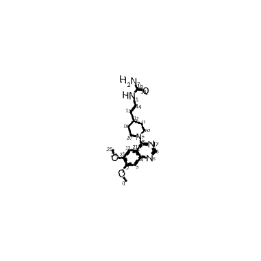 COc1cc2ncnc(N3CCC(CCNC(N)=O)CC3)c2cc1OC